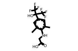 Cc1cc(C(O)(C(F)(F)F)C(F)(F)F)cc(C)c1NCC(=O)O